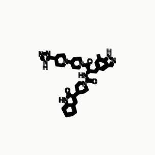 Cc1cc(CC(NC(=O)N2CCC(c3cc4ccccc4[nH]c3=O)CC2)C(=O)N2CCC(N3CCC(c4nnc[nH]4)CC3)CC2)cc2cn[nH]c12